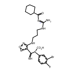 N=C(c1nonc1NCCCN/C(N)=N/C(=O)C1CCCCC1)N(C(=O)O)c1ccc(F)c(Br)c1